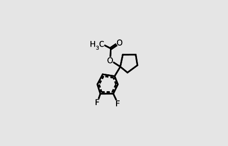 CC(=O)OC1(c2ccc(F)c(F)c2)CCCC1